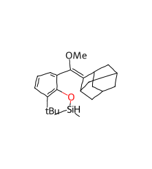 COC(=C1C2CC3CC(C2)CC1C3)c1cccc(C(C)(C)C)c1O[SiH](C)C